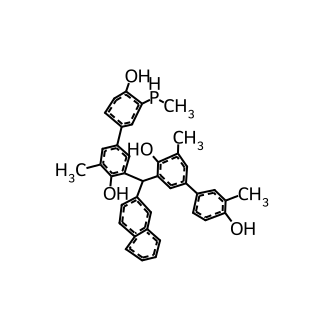 CPc1cc(-c2cc(C)c(O)c(C(c3ccc4ccccc4c3)c3cc(-c4ccc(O)c(C)c4)cc(C)c3O)c2)ccc1O